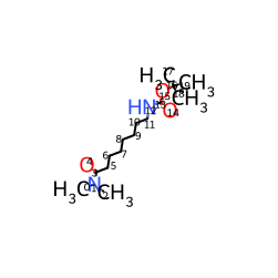 CN(C)C(=O)CCCCCCCNC(=O)OC(C)(C)C